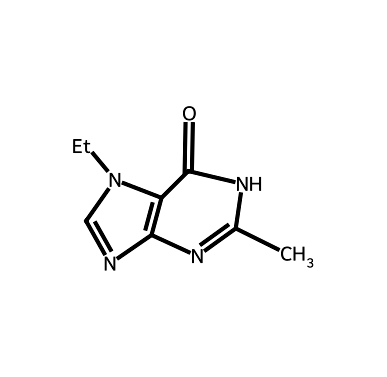 CCn1cnc2nc(C)[nH]c(=O)c21